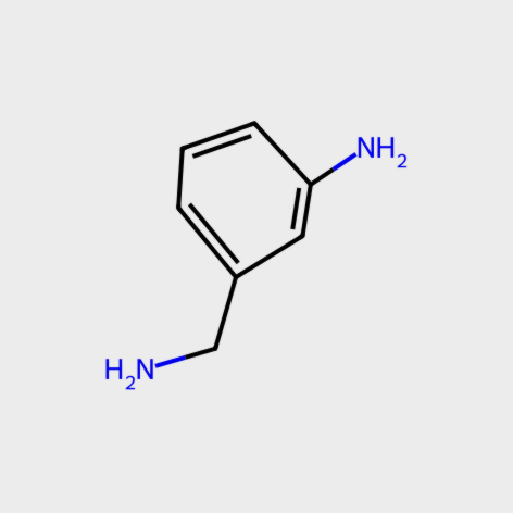 NCc1cccc(N)c1